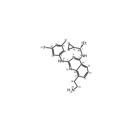 CC[C@@H](Nc1nc(Nc2cc(C)cc(F)c2)nc2c(CCN)cccc12)C1CC1